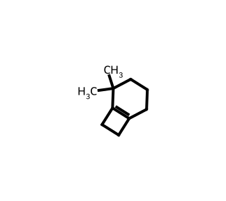 CC1(C)CCCC2=C1CC2